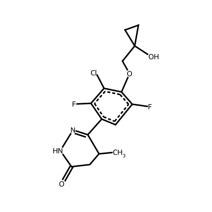 CC1CC(=O)NN=C1c1cc(F)c(OCC2(O)CC2)c(Cl)c1F